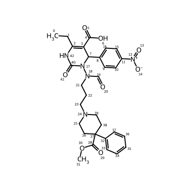 CCC1=C(C(=O)O)C(c2ccc([N+](=O)[O-])cc2)N(N(C=O)CCCN2CCC(C(=O)OC)(c3ccccc3)CC2)C(=O)N1